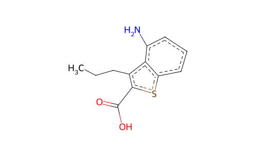 CCCc1c(C(=O)O)sc2cccc(N)c12